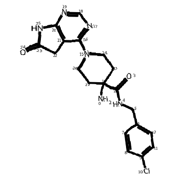 NC1(C(=O)NCc2ccc(Cl)cc2)CCN(c2ncnc3c2CC(=O)N3)CC1